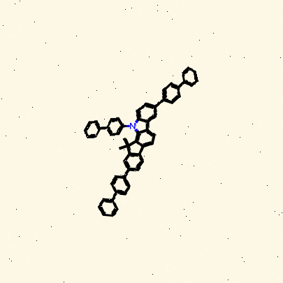 CC1(C)c2cc(-c3ccc(-c4ccccc4)cc3)ccc2-c2ccc3c4cc(-c5ccc(-c6ccccc6)cc5)ccc4n(-c4ccc(-c5ccccc5)cc4)c3c21